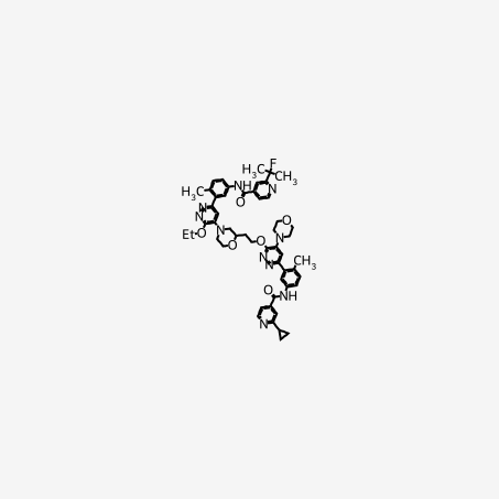 CCOc1nnc(-c2cc(NC(=O)c3ccnc(C(C)(C)F)c3)ccc2C)cc1N1CCOC(CCOc2nnc(-c3cc(NC(=O)c4ccnc(C5CC5)c4)ccc3C)cc2N2CCOCC2)C1